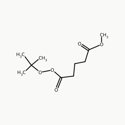 COC(=O)CCCC(=O)OOC(C)(C)C